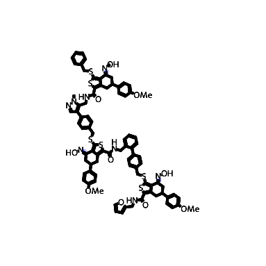 COc1ccc(C2C/C(=N\O)c3c(SCc4ccc(-c5ccccc5CNC(=O)c5sc(SCc6ccc(-c7cnn(C)c7CNC(=O)c7sc(SCc8ccccc8)c8c7CC(c7ccc(OC)cc7)C/C8=N\O)cc6)c6c5CC(c5ccc(OC)cc5)C/C6=N\O)cc4)sc(C(=O)NCc4ccco4)c3C2)cc1